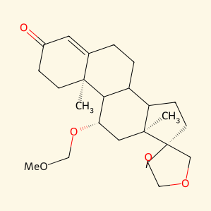 COCO[C@H]1C[C@@]2(C)C(CC[C@@]23COCC32CCOC2)C2CCC3=CC(=O)CC[C@]3(C)C21